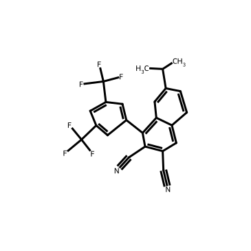 CC(C)c1ccc2cc(C#N)c(C#N)c(-c3cc(C(F)(F)F)cc(C(F)(F)F)c3)c2c1